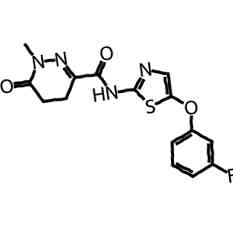 CN1N=C(C(=O)Nc2ncc(Oc3cccc(F)c3)s2)CCC1=O